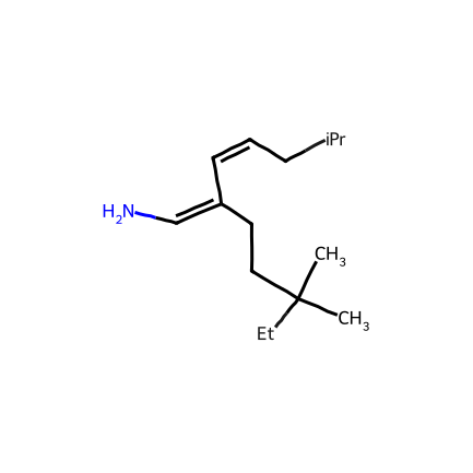 CCC(C)(C)CCC(/C=C\CC(C)C)=C/N